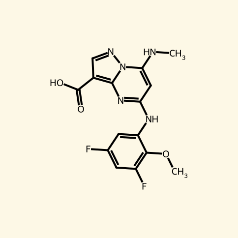 CNc1cc(Nc2cc(F)cc(F)c2OC)nc2c(C(=O)O)cnn12